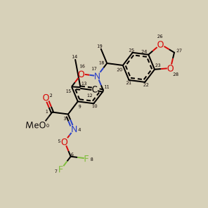 COC(=O)C(=NOC(F)F)c1cc2cc(C)c1ON2C(C)c1ccc2c(c1)OCO2